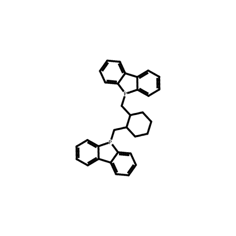 c1ccc2c(c1)c1ccccc1p2CC1CCCCC1Cp1c2ccccc2c2ccccc21